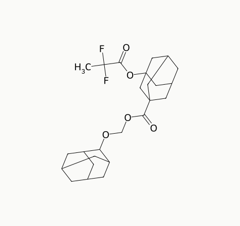 CC(F)(F)C(=O)OC12CC3CC(C1)CC(C(=O)OCOC1C4CC5CC(C4)CC1C5)(C3)C2